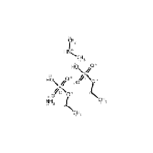 CCOS(=O)(=O)O.CCOS(=O)(=O)O.CNC.N